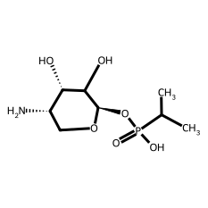 CC(C)P(=O)(O)O[C@H]1OC[C@H](N)[C@H](O)C1O